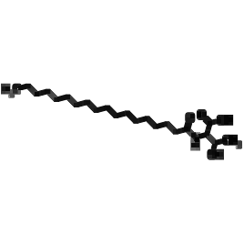 CCCCCCCCCCCCCCCCCC(=O)NC(C(=O)O)C(C)O